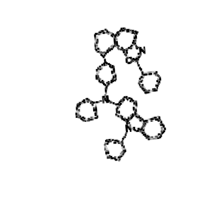 c1ccc(-c2nc3ccc4cccc(-c5ccc(N(c6ccccc6)c6ccc7c8ccccc8n(-c8ccccc8)c7c6)cc5)c4c3o2)cc1